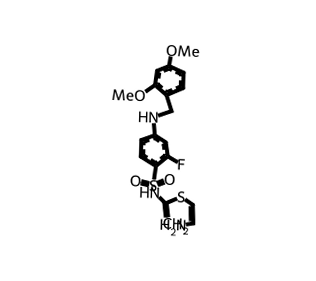 C=C(NS(=O)(=O)c1ccc(NCc2ccc(OC)cc2OC)cc1F)S/C=C\N